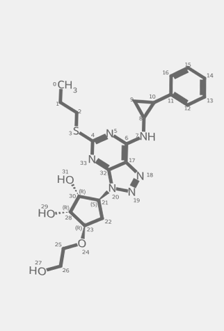 CCCSc1nc(NC2CC2c2ccccc2)c2nnn([C@H]3C[C@@H](OCCO)[C@H](O)[C@@H]3O)c2n1